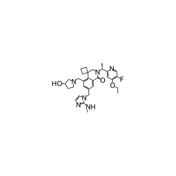 CCOc1cc([C@H](C)N2CC3(CCC3)c3c(CN4CC[C@@H](O)C4)cc(Cn4ccnc4NC)cc3C2=O)ncc1F